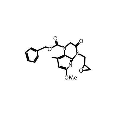 COc1cc(C)c2c(n1)N(CC1CO1)C(=O)CN2C(=O)OCc1ccccc1